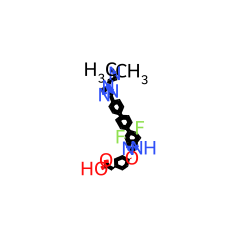 CN(C)CCn1cnc(-c2ccc(-c3ccc(-c4c(F)cc5[nH]c(O[C@H]6CC[C@H](CC(=O)O)CC6)nc5c4F)cc3)cc2)n1